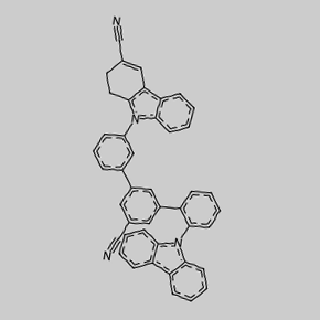 N#CC1=Cc2c(n(-c3cccc(-c4cc(C#N)cc(-c5ccccc5-n5c6ccccc6c6ccccc65)c4)c3)c3ccccc23)CC1